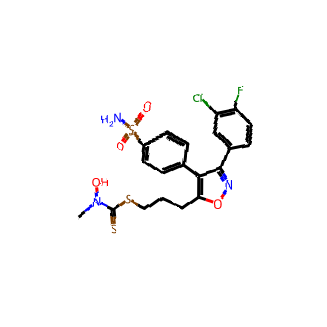 CN(O)C(=S)SCCCc1onc(-c2ccc(F)c(Cl)c2)c1-c1ccc(S(N)(=O)=O)cc1